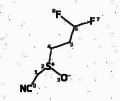 N#CC[S+]([O-])CCC(F)F